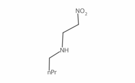 CCCCNCC[N+](=O)[O-]